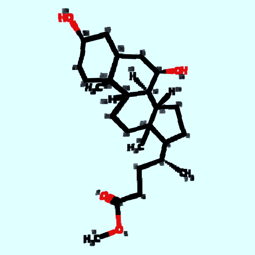 COC(=O)CC[C@@H](C)C1CC[C@H]2[C@@H]3[C@H](O)CC4C[C@H](O)CCC4(C)[C@H]3CCC12C